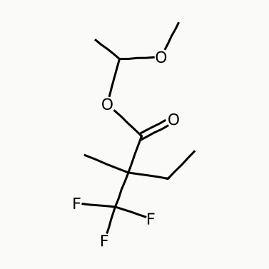 CCC(C)(C(=O)OC(C)OC)C(F)(F)F